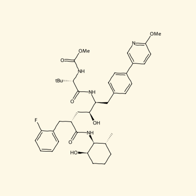 COC(=O)N[C@H](C(=O)N[C@@H](Cc1ccc(-c2ccc(OC)nc2)cc1)[C@@H](O)C[C@@H](Cc1ccccc1F)C(=O)N[C@H]1[C@H](C)CCC[C@H]1O)C(C)(C)C